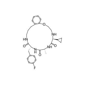 C[C@H]1NC(=O)[C@H](C2CC2)NCCOc2ccccc2CCCNC(=O)[C@@H](Cc2ccc(F)cc2)NC1=O